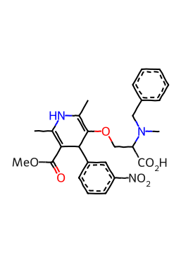 COC(=O)C1=C(C)NC(C)=C(OCC(C(=O)O)N(C)Cc2ccccc2)C1c1cccc([N+](=O)[O-])c1